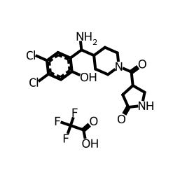 NC(c1cc(Cl)c(Cl)cc1O)C1CCN(C(=O)C2CNC(=O)C2)CC1.O=C(O)C(F)(F)F